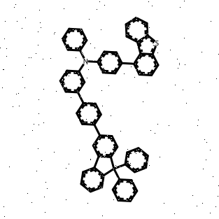 c1ccc(N(c2ccc(-c3cccc4sc5ccccc5c34)cc2)c2cccc(-c3ccc(-c4ccc5c(c4)-c4ccccc4C5(c4ccccc4)c4ccccc4)cc3)c2)cc1